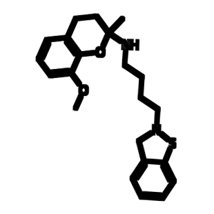 COc1cccc2c1OC(C)(NCCCCN1Cc3ccccc3S1)CC2